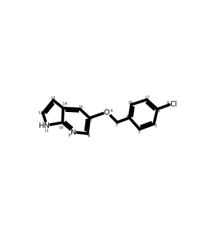 Clc1ccc(COc2cnc3[nH]ccc3c2)cc1